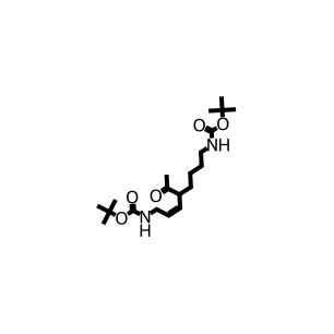 CC(=O)C(/C=C\CNC(=O)OC(C)(C)C)CCCCNC(=O)OC(C)(C)C